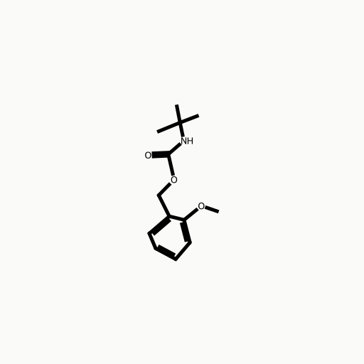 COc1ccccc1COC(=O)NC(C)(C)C